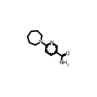 NC(=O)c1ccc(N2CCCCCC2)nc1